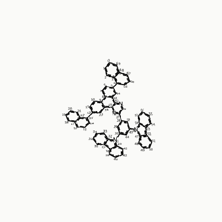 c1ccc2c(-c3ccc4c5ccc(-c6cccc7ccccc67)cc5c5nc(-c6cc(-n7c8ccccc8c8ccccc87)cc(-n7c8ccccc8c8ccccc87)c6)cnc5c4c3)cccc2c1